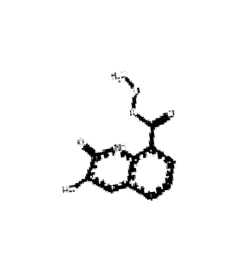 COOC(=O)c1cccc2cc(O)c(=O)[nH]c12